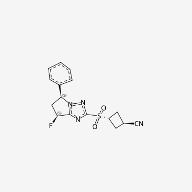 N#C[C@H]1C[C@H](S(=O)(=O)c2nc3n(n2)[C@H](c2ccccc2)C[C@@H]3F)C1